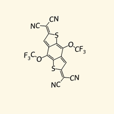 N#CC(C#N)=c1cc2c(OC(F)(F)F)c3sc(=C(C#N)C#N)cc3c(OC(F)(F)F)c2s1